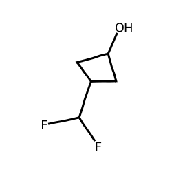 OC1CC(C(F)F)C1